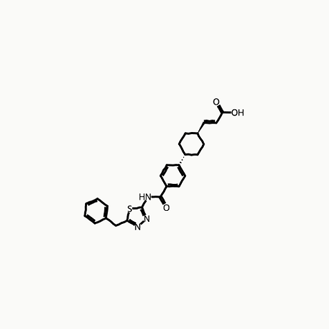 O=C(O)C=C[C@H]1CC[C@H](c2ccc(C(=O)Nc3nnc(Cc4ccccc4)s3)cc2)CC1